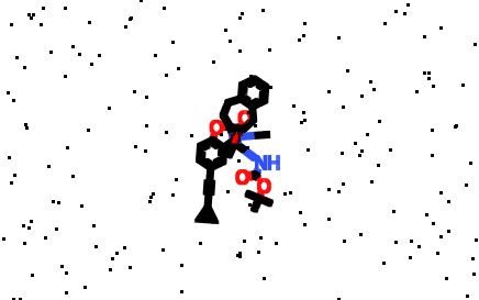 CN1C(=O)C2(N=C1NC(=O)OC(C)(C)C)c1cc(C#CC3CC3)ccc1OC21CCc2ccccc2CC1